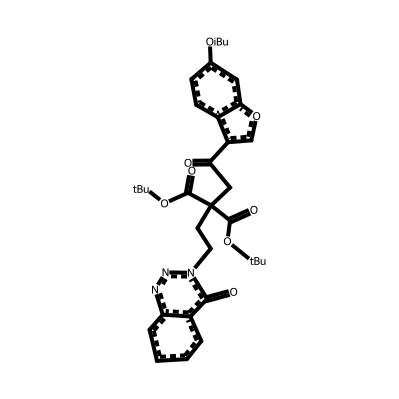 CC(C)COc1ccc2c(C(=O)CC(CCn3nnc4ccccc4c3=O)(C(=O)OC(C)(C)C)C(=O)OC(C)(C)C)coc2c1